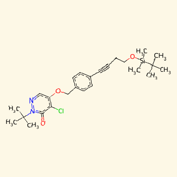 CC(C)(C)n1ncc(OCc2ccc(C#CCCO[Si](C)(C)C(C)(C)C)cc2)c(Cl)c1=O